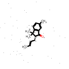 CC=CC[C@@H]1C(=O)c2cc(C)ccc2C1(C)C